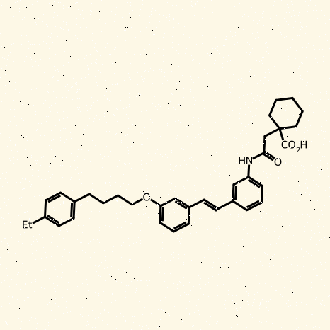 CCc1ccc(CCCCOc2cccc(C=Cc3cccc(NC(=O)CC4(C(=O)O)CCCCC4)c3)c2)cc1